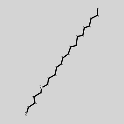 CCCCCCCCCCCCCCCCOCCCCCl